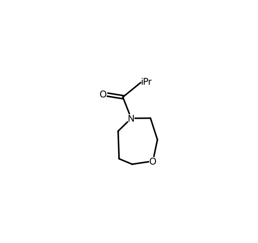 CC(C)C(=O)N1CCCOCC1